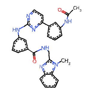 CC(=O)Nc1cccc(-c2ccnc(Nc3cccc(C(=O)NCc4nc5ccccc5n4C)c3)n2)c1